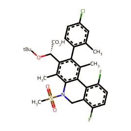 Cc1cc(Cl)ccc1-c1c(C)c2c(c(C)c1[C@H](OC(C)(C)C)C(=O)O)N(S(C)(=O)=O)Cc1c(F)ccc(F)c1-2